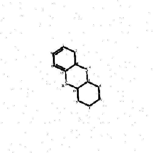 C1=CCC2SC3CCCCC3SC2=C1